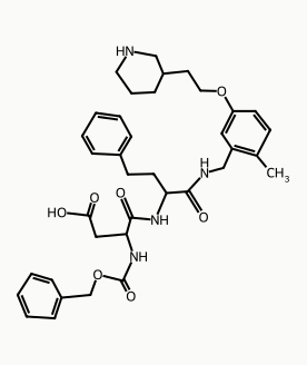 Cc1ccc(OCCC2CCCNC2)cc1CNC(=O)C(CCc1ccccc1)NC(=O)C(CC(=O)O)NC(=O)OCc1ccccc1